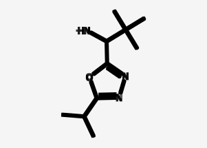 CC(C)c1nnc(C([NH])C(C)(C)C)o1